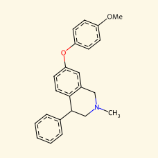 COc1ccc(Oc2ccc3c(c2)CN(C)CC3c2ccccc2)cc1